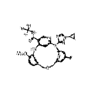 [2H]C([2H])([2H])NC(=O)c1cnc2cc1Nc1cc(ccc1OC)COCc1cc(F)cc(n1)N2c1ncn(C2CC2)n1